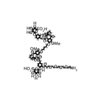 COc1cc2c(cc1OCCCCCOc1cc3c(cc1OC)C(=O)N1CCC[C@H]1[C@H](O)N3C(=O)OCc1ccc(O[C@@H]3O[C@H](C(=O)O)[C@@H](O)[C@H](O)[C@H]3O)c(NC(=O)CCOCCOCCOCCOCCN)c1)N(C(=O)OCc1ccc(O[C@@H]3O[C@H](C(=O)O)[C@@H](O)[C@H](O)[C@H]3O)cc1)[C@@H](O)[C@@H]1CCCN1C2=O